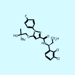 CC(C)(C)[C@@](C)(O)COc1cc(C(=O)N[C@@H](CC(=O)O)c2cccc(Cl)c2Cl)nn1-c1ccc(F)cc1